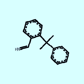 CC(C)(c1ccccc1)c1ccccc1C=N